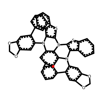 Cc1cc2c3c(c1)N(c1cc4c(cc1-c1ccccc1)OCO4)c1c(sc4ccccc14)B3c1sc3ccccc3c1N2c1cc2c(cc1-c1ccccc1)OCO2